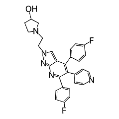 OC1CCN(CCn2cc3c(-c4ccc(F)cc4)c(-c4ccncc4)c(-c4ccc(F)cc4)nc3n2)C1